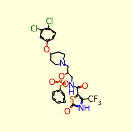 O=C(NC[C@H](CN1CCC(Oc2ccc(Cl)c(Cl)c2)CC1)OS(=O)(=O)c1ccccc1)c1sc(=O)[nH]c1C(F)(F)F